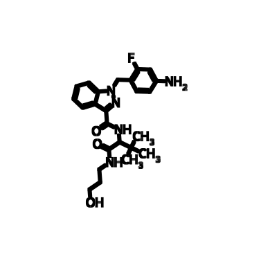 CC(C)(C)C(NC(=O)c1nn(Cc2ccc(N)cc2F)c2ccccc12)C(=O)NCCCO